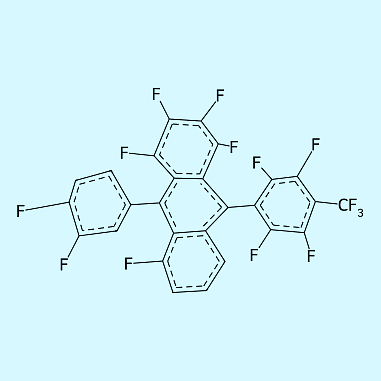 Fc1ccc(-c2c3c(F)cccc3c(-c3c(F)c(F)c(C(F)(F)F)c(F)c3F)c3c(F)c(F)c(F)c(F)c23)cc1F